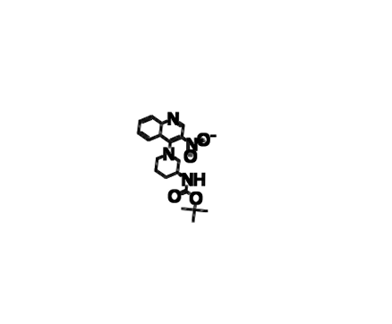 CC(C)(C)OC(=O)N[C@H]1CCCN(C2=C([N+](=O)[O-])C=NC3C=CC=CC23)C1